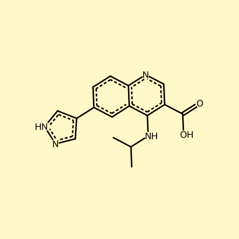 CC(C)Nc1c(C(=O)O)cnc2ccc(-c3cn[nH]c3)cc12